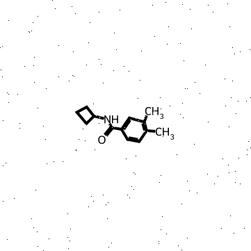 Cc1ccc(C(=O)NC2CCC2)cc1C